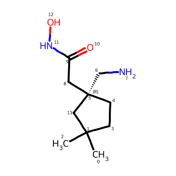 CC1(C)CC[C@](CN)(CC(=O)NO)C1